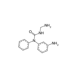 NCNC(=O)N(c1ccccc1)c1cccc(N)c1